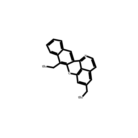 CC(C)(C)Cc1cc2c3c(nccc3c1)-c1cc3ccccc3c(CC(C)(C)C)c1O2